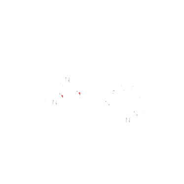 CC(COCCC(=O)N1C2CCC1CN(c1ncc(C3CC3)cn1)C2)Nc1cn[nH]c(=O)c1C(F)(F)F